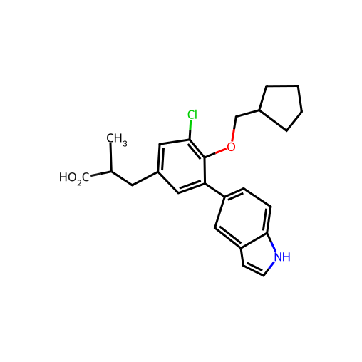 CC(Cc1cc(Cl)c(OCC2CCCC2)c(-c2ccc3[nH]ccc3c2)c1)C(=O)O